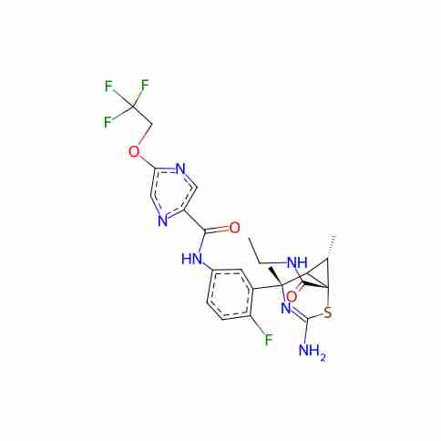 CCNC(=O)[C@@]12SC(N)=N[C@](C)(c3cc(NC(=O)c4cnc(OCC(F)(F)F)cn4)ccc3F)C1[C@@H]2C